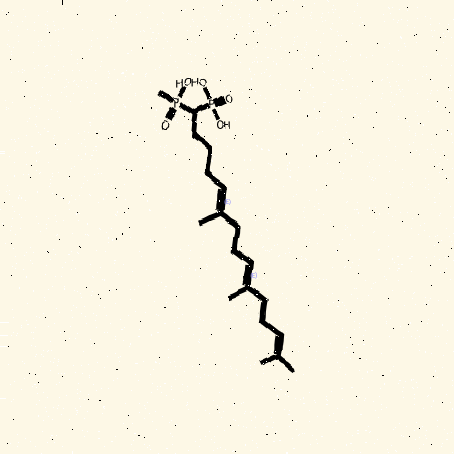 CC(C)=CCC/C(C)=C/CC/C(C)=C/CCCC(P(C)(=O)O)P(=O)(O)O